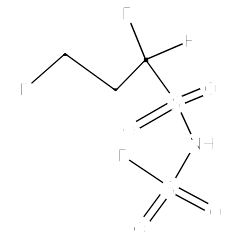 O=S(=O)(F)NS(=O)(=O)C(F)(F)CCF